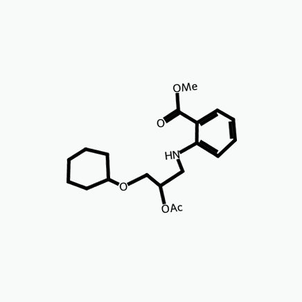 COC(=O)c1ccccc1NCC(COC1CCCCC1)OC(C)=O